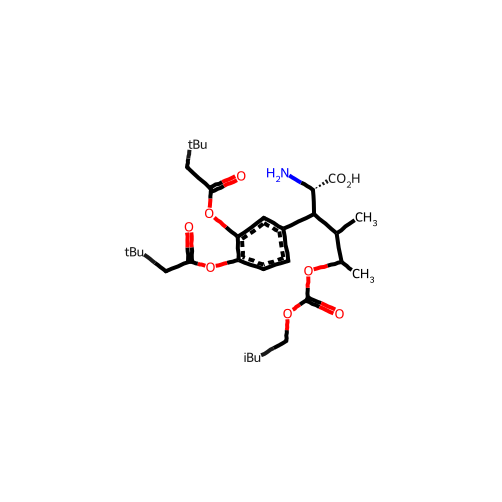 CCC(C)COC(=O)OC(C)C(C)C(c1ccc(OC(=O)CC(C)(C)C)c(OC(=O)CC(C)(C)C)c1)[C@H](N)C(=O)O